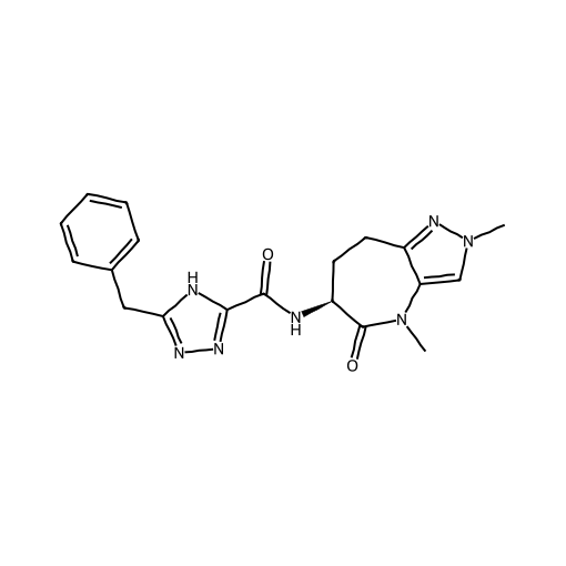 CN1C(=O)[C@@H](NC(=O)c2nnc(Cc3ccccc3)[nH]2)CCc2nn(C)cc21